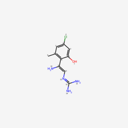 Cc1cc(Cl)cc(O)c1/C(N)=C/N=C(N)N